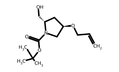 C=CCO[C@@H]1C[C@@H](CO)N(C(=O)OC(C)(C)C)C1